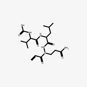 C=CC(=O)N(CCC(N)=O)NC(=O)C(CC(C)C)NC(=O)C(NC(=O)O)C(C)C